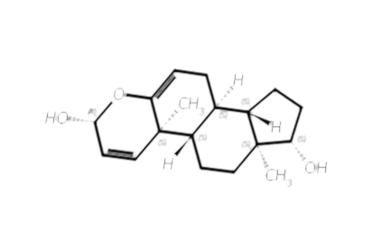 C[C@]12CC[C@H]3[C@@H](CC=C4O[C@@H](O)C=C[C@@]43C)[C@@H]1CC[C@@H]2O